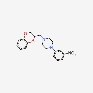 O=[N+]([O-])c1cccc(N2CCN(CC3COc4ccccc4O3)CC2)c1